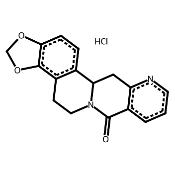 Cl.O=C1c2cccnc2CC2c3ccc4c(c3CCN12)OCO4